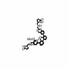 COc1nc(-c2cccc(-c3cccc(-c4ccc5nc(CNCC6CCC(=O)N6)ncc5c4)c3Cl)c2Cl)ccc1CNCC1CCC(=O)N1